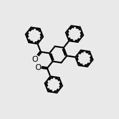 O=C(C1=C(C(=O)c2ccccc2)CC(c2ccccc2)=C(c2ccccc2)C1)c1ccccc1